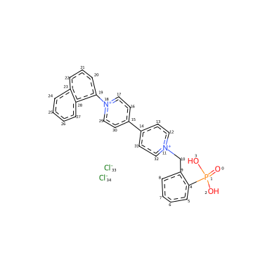 O=P(O)(O)c1ccccc1C[n+]1ccc(-c2cc[n+](-c3cccc4ccccc34)cc2)cc1.[Cl-].[Cl-]